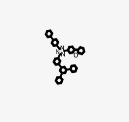 c1ccc(-c2ccc(-c3nc(-c4cccc(-c5cc(-c6ccccc6)cc(-c6ccccc6)c5)c4)nc(-c4ccc5c(c4)oc4ccccc45)n3)cc2)cc1